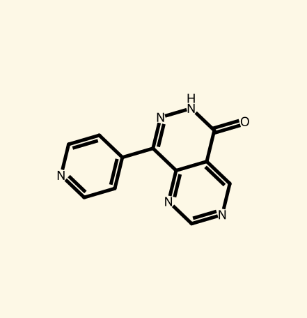 O=c1[nH]nc(-c2ccncc2)c2ncncc12